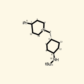 CC(C)C1CCN(C[C@H]2CC[C@H](NC(C)(C)C)CC2)CC1